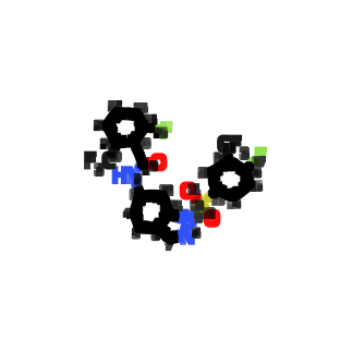 O=C(Nc1ccc2cnn(S(=O)(=O)c3ccc(F)c(C(F)(F)F)c3)c2c1)c1c(F)cccc1C(F)(F)F